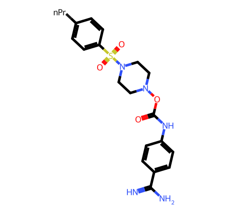 CCCc1ccc(S(=O)(=O)N2CCN(OC(=O)Nc3ccc(C(=N)N)cc3)CC2)cc1